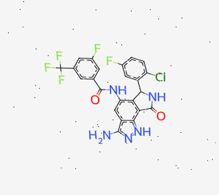 Nc1n[nH]c2c3c(c(NC(=O)c4cc(F)cc(C(F)(F)F)c4)cc12)C(c1cc(F)ccc1Cl)NC3=O